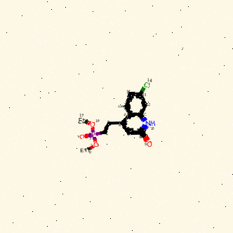 CCOP(=O)(CCc1cc(=O)[nH]c2cc(Cl)ccc12)OCC